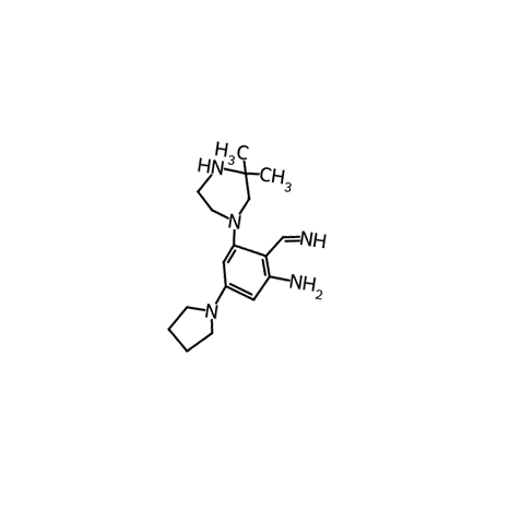 CC1(C)CN(c2cc(N3CCCC3)cc(N)c2C=N)CCN1